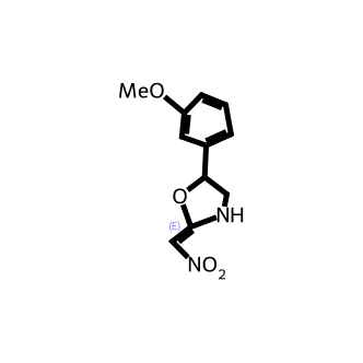 COc1cccc(C2CN/C(=C\[N+](=O)[O-])O2)c1